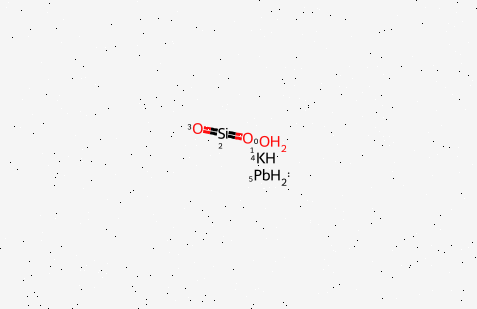 O.O=[Si]=O.[KH].[PbH2]